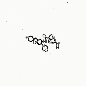 CNc1cnc2c(C(=O)Nc3cc4c(cc3N3CCOCC3)OC3(CCN(C)CC3)C4)cnn2c1